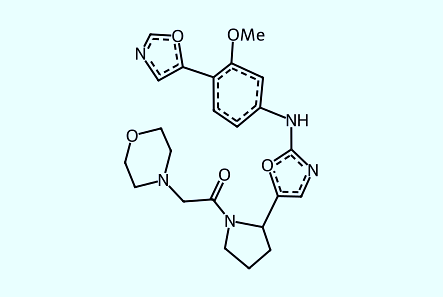 COc1cc(Nc2ncc(C3CCCN3C(=O)CN3CCOCC3)o2)ccc1-c1cnco1